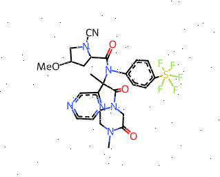 COC1CC(C(=O)N(c2ccc(S(F)(F)(F)(F)F)cc2)C(C)(C(=O)N2CCN(C)C(=O)C2)c2cnccn2)N(C#N)C1